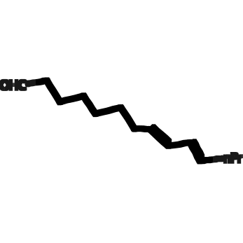 CCC/C=C/C=C/CCCCCCC=O